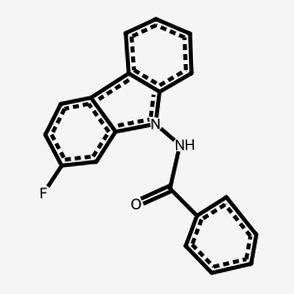 O=C(Nn1c2ccccc2c2ccc(F)cc21)c1ccccc1